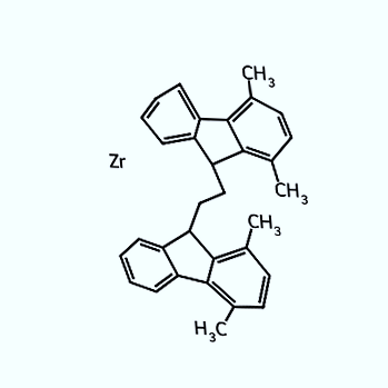 Cc1ccc(C)c2c1-c1ccccc1C2CCC1c2ccccc2-c2c(C)ccc(C)c21.[Zr]